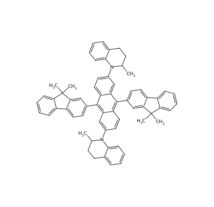 CC1CCc2ccccc2N1c1ccc2c(-c3ccc4c(c3)C(C)(C)c3ccccc3-4)c3cc(N4c5ccccc5CCC4C)ccc3c(-c3ccc4c(c3)C(C)(C)c3ccccc3-4)c2c1